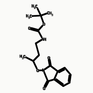 CC(CCNC(=O)OC(C)(C)C)ON1C(=O)c2ccccc2C1=O